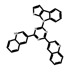 C1=CC2=CC(c3nc(-c4cnc5ccccc5c4)nc(-n4c5ccccc5c5ccsc54)n3)=CNC2C=C1